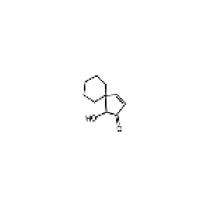 O=C1C=CC2(CCCCC2)C1O